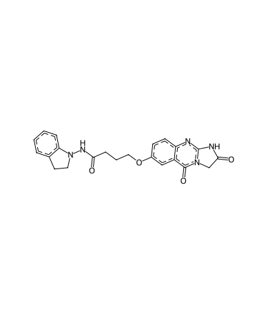 O=C1Cn2c(nc3ccc(OCCCC(=O)NN4CCc5ccccc54)cc3c2=O)N1